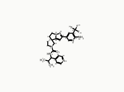 CC(C)C(NC(=O)N1CC[C@@]2(CCn3nc(-c4cnc(N)c(C(F)(F)F)c4)cc32)C1)c1ccncc1